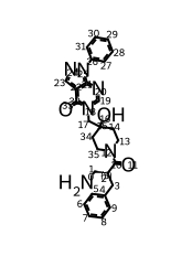 NC[C@H](Cc1ccccc1)C(=O)N1CCC(O)(Cn2cnc3c(cnn3-c3ccccc3)c2=O)CC1